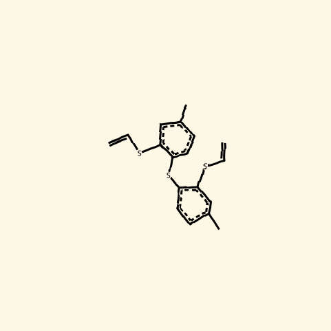 C=CSc1cc(C)ccc1Sc1ccc(C)cc1SC=C